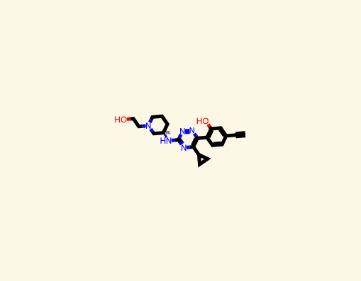 C#Cc1ccc(-c2nnc(N[C@@H]3CCCN(CCO)C3)nc2C2CC2)c(O)c1